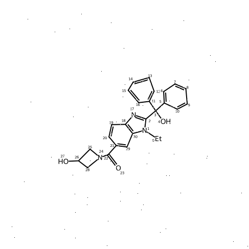 CCn1c(C(O)(c2ccccc2)c2ccccc2)nc2ccc(C(=O)N3CC(O)C3)cc21